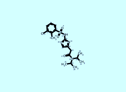 Cc1c(Cl)cccc1S(=O)(=O)Nc1nc(CC(=O)N(C(C)C)C(C)C)cs1